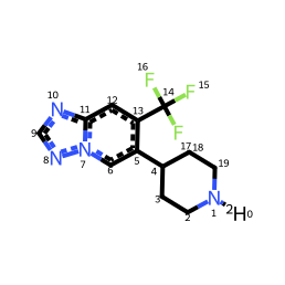 [2H]N1CCC(c2cn3ncnc3cc2C(F)(F)F)CC1